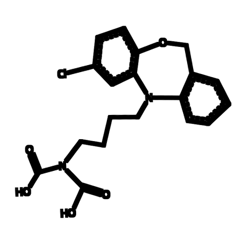 O=C(O)N(CCCCN1c2ccccc2COc2ccc(Cl)cc21)C(=O)O